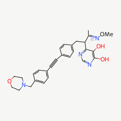 CO/N=C(\C)C(Cc1ccc(C#Cc2ccc(CN3CCOCC3)cc2)cc1)c1ncnc(O)c1O